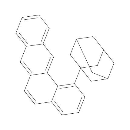 c1ccc2cc3c(ccc4cccc(C56CC7CC(CC(C7)C5)C6)c43)cc2c1